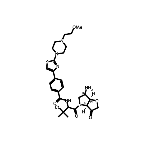 CCC(C)(C)C(NC(=O)c1ccc(-c2csc(N3CCN(CCOC)CC3)n2)cc1)C(=O)N1C[C@@H](N)[C@H]2OCC(=O)[C@H]21